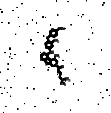 COc1ccc(Oc2ccc(Nc3ncnc4sc5c(c34)[C@H](C)CN(C(=O)/C=C/CN(C)C)C5)cc2C)cn1